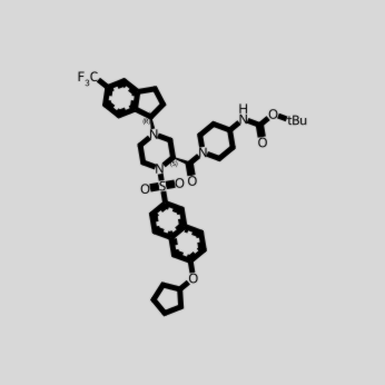 CC(C)(C)OC(=O)NC1CCN(C(=O)[C@@H]2CN([C@@H]3CCc4cc(C(F)(F)F)ccc43)CCN2S(=O)(=O)c2ccc3cc(OC4CCCC4)ccc3c2)CC1